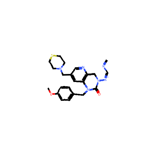 C=N/C=N\N1Cc2ncc(CN3CCSCC3)cc2N(Cc2ccc(OC)cc2)C1=O